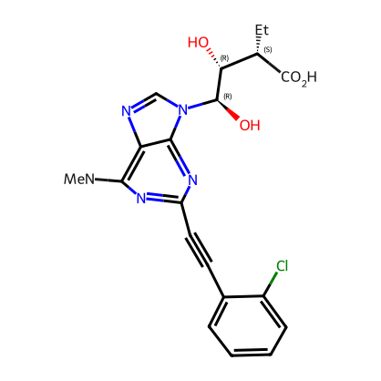 CC[C@H](C(=O)O)[C@@H](O)[C@@H](O)n1cnc2c(NC)nc(C#Cc3ccccc3Cl)nc21